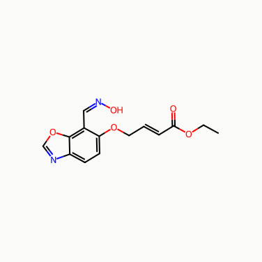 CCOC(=O)/C=C/COc1ccc2ncoc2c1/C=N\O